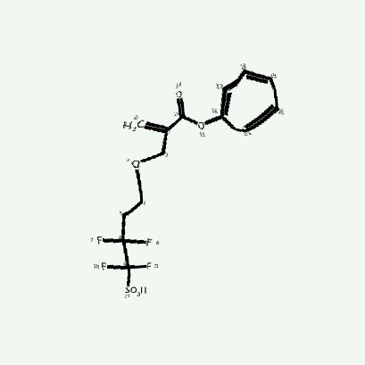 C=C(COCCC(F)(F)C(F)(F)S(=O)(=O)O)C(=O)Oc1ccccc1